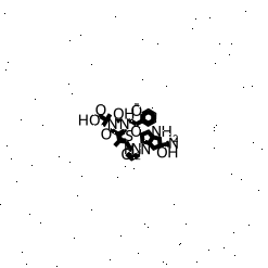 COc1ccccc1C(CN1c2sc(-c3ncco3)c(C)c2C(=O)N(C(C)(C)C(=O)O)C1O)O[C@H]1C[C@@]2(N)CC(O)(C#N)C[C@@]2(N)C1